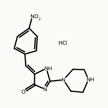 Cl.O=C1N=C(N2CCNCC2)N/C1=C\c1ccc([N+](=O)[O-])cc1